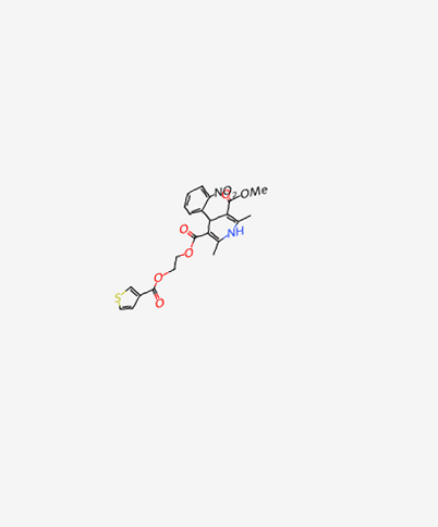 COC(=O)C1=C(C)NC(C)=C(C(=O)OCCOC(=O)c2ccsc2)C1c1ccccc1[N+](=O)[O-]